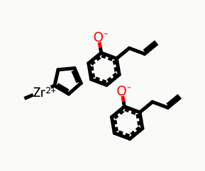 C=CCc1ccccc1[O-].C=CCc1ccccc1[O-].[CH3][Zr+2][C]1=CC=CC1